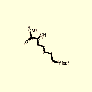 CCCCCCCCCCCCC(O)C(=O)OC